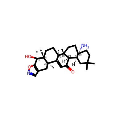 CC1(C)CC[C@]2(N)CC[C@]3(C)[C@H](C(=O)C=C4[C@@]5(C)Cc6cnoc6[C@@](C)(O)[C@@H]5CC[C@]43C)[C@@H]2C1